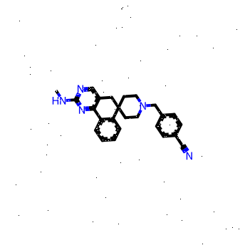 CNc1ncc2c(n1)-c1ccccc1C1(CCN(Cc3ccc(C#N)cc3)CC1)C2